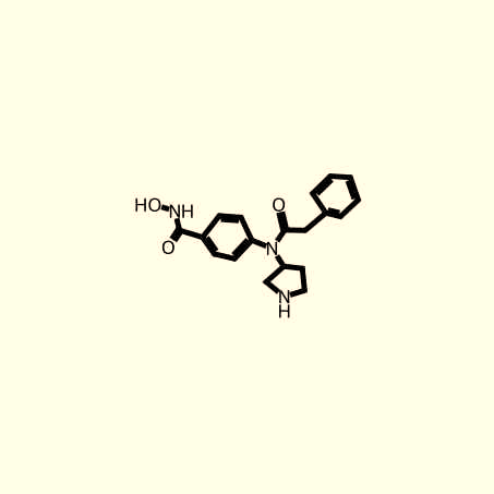 O=C(NO)c1ccc(N(C(=O)Cc2ccccc2)C2CCNC2)cc1